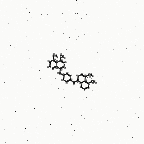 Cc1cccc2c(Oc3ccc(Oc4ccc(C)c5c(C)cccc45)cc3)ccc(C)c12